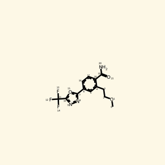 COCCc1cc(-c2nnc(C(F)(F)F)o2)ccc1C(N)=O